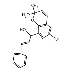 CC1(C)C=Cc2cc(Br)cc(C(O)C=Cc3ccccc3)c2O1